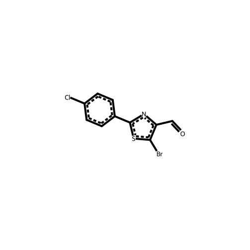 O=Cc1nc(-c2ccc(Cl)cc2)sc1Br